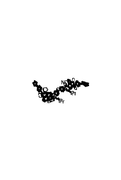 CC(C)CCN(C(=O)c1ccc2c3c(ccc(C#N)c13)C(=O)N(c1ccc(C3=CCC=C3)cc1)C2=O)c1ccc(Oc2ccc(N(CCC(C)C)C(=O)c3ccc4c5c(ccc(C#N)c35)C(=O)N(c3ccc(C5C=CC=C5)cc3)C4=O)cc2)cc1